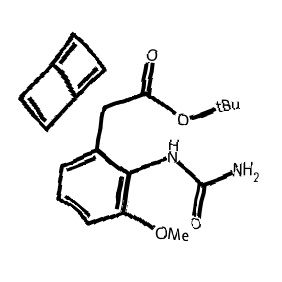 COc1cccc(CC(=O)OC(C)(C)C)c1NC(N)=O.c1cc2ccc1-2